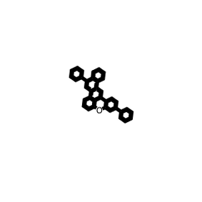 c1ccc(-c2ccc3c(c2)Oc2cccc4c2c-3cc2c3ccccc3c(-c3ccccc3)cc42)cc1